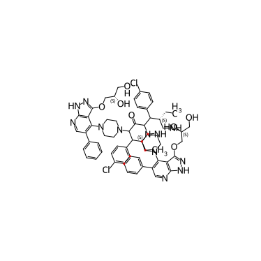 CC[C@H](C=N)C(c1ccc(Cl)cc1)C(C(=O)C(C(c1ccc(Cl)cc1)[C@@H](C=N)CC)N1CCN(c2c(-c3ccccc3)cnc3[nH]nc(OC[C@@H](O)CO)c23)CC1)N1CCN(c2c(-c3ccccc3)cnc3[nH]nc(OC[C@@H](O)CO)c23)CC1